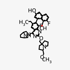 C#Cc1c(F)ccc2cc(O)cc(-c3c(CC)cc4c(N5CC6CCC(C5)N6)nc(OCC56CCCN5C(COC)CC6)nc4c3F)c12